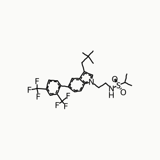 CC(C)S(=O)(=O)NCCn1cc(CC(C)(C)C)c2cc(-c3ccc(C(F)(F)F)cc3C(F)(F)F)ccc21